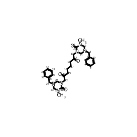 CN1CN(Cc2ccccc2)CN(CC(=O)CCCCC(=O)CN2CN(Cc3ccccc3)CN(C)C2=O)C1=O